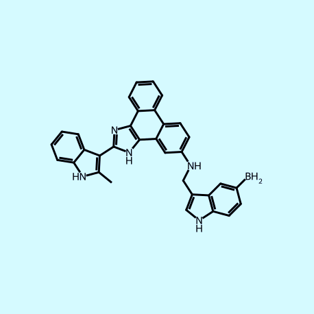 Bc1ccc2[nH]cc(CNc3ccc4c5ccccc5c5nc(-c6c(C)[nH]c7ccccc67)[nH]c5c4c3)c2c1